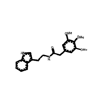 COc1cc(CC(=O)NCCc2c[nH]c3ccccc23)cc(OC)c1OC